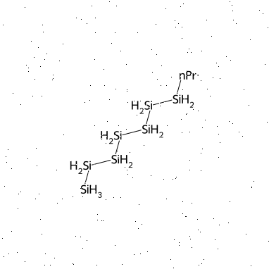 CC[CH][SiH2][SiH2][SiH2][SiH2][SiH2][SiH2][SiH3]